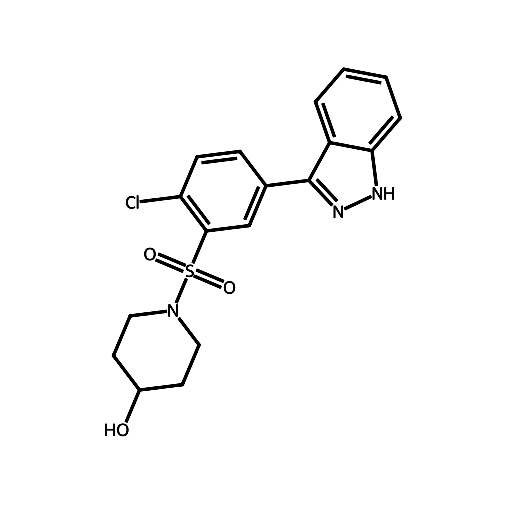 O=S(=O)(c1cc(-c2n[nH]c3ccccc23)ccc1Cl)N1CCC(O)CC1